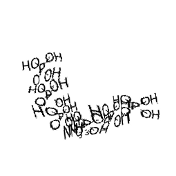 N.N.O=P(O)(O)O.O=P(O)(O)O.O=P(O)(O)O.O=P(O)(O)O.O=P(O)(O)O.O=P(O)(O)O